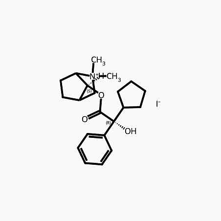 C[N+]1(C)CC2CCC1[C@H]2OC(=O)[C@](O)(c1ccccc1)C1CCCC1.[I-]